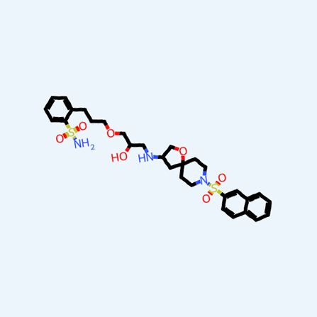 NS(=O)(=O)c1ccccc1CCCOCC(O)CNC1COC2(CCN(S(=O)(=O)c3ccc4ccccc4c3)CC2)C1